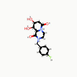 O=c1c2c(O)c(O)cc(=O)n2ccn1Cc1ccc(F)cc1